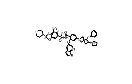 Cc1ccccc1[C@@H]1CCCN1C1CC2(C1)CN(c1ccc(C(=O)NS(=O)(=O)c3cc4c(c([N+](=O)[O-])c3)N[C@H](C3CCOCC3)CO4)c(Oc3cnc4[nH]ccc4c3)c1)C2